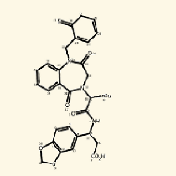 CCCC[C@@H](C(=O)N[C@@H](CC(=O)O)c1ccc2c(c1)OCO2)N1CC(=O)N(CC2=CC=CCC2=S)c2ccccc2C1=O